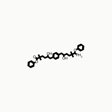 CC(C)(CCC(O)Cc1ccc(CC(O)CCC(C)(C)C(P)Oc2ccccc2)cc1)C(=O)Oc1ccccc1